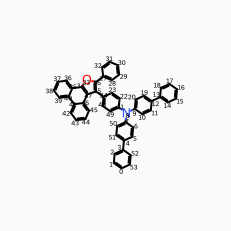 c1ccc(-c2ccc(N(c3ccc(-c4ccccc4)cc3)c3ccc(-c4c(-c5ccccc5)oc5c6ccccc6c6ccccc6c45)cc3)cc2)cc1